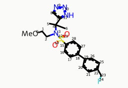 COCCN(C(C)(C)c1cnn[nH]1)S(=O)(=O)c1ccc(-c2ccc(CF)cc2)cc1